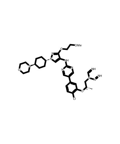 COCCOc1nn([C@H]2CC[C@H](N3CCOCC3)CC2)cc1Nc1ncc(-c2ccc(Cl)c(O[C@@H](C)CN(C=N)N=N)c2)cn1